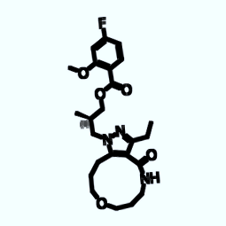 CCc1nn(C[C@@H](C)COC(=O)c2ccc(F)cc2OC)c2c1C(=O)NCCCOCCC2